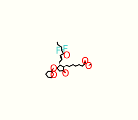 CCCC(F)(F)C(=O)C=CC[C@H]1[C@H](OC2CCCCO2)CC(=O)[C@@H]1CCCCCCC(=O)OC